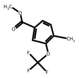 COC(=O)c1ccc(C)c(OC(F)(F)F)c1